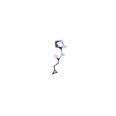 O=C(CCC1CC1)Nc1ccn[nH]1